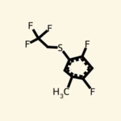 Cc1cc(SCC(F)(F)F)c(F)cc1F